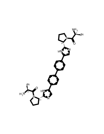 CC(C)[C@H](N)C(=O)N1CCC[C@H]1c1ncc(-c2ccc(-c3ccc(-c4cnc([C@@H]5CCCN5C(=O)[C@@H](N)C(C)C)[nH]4)cc3)cc2)[nH]1